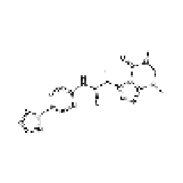 C[C@@H](C(=O)Nc1ccc(-c2nccs2)cn1)n1cnc2c1C(=O)N(C)CN2C